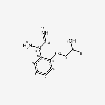 CC(O)COc1ccccc1N(N)C=N